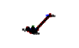 COc1cc2c(cc1-c1cccc(NC(=O)CCOCCOCCOCCOCCOCCOCCNC(=O)OC(C)(C)C)c1)-c1c(c(C(=O)N3CCOCC3(C)C)nn1-c1cc(Cl)cc(Cl)c1)CO2